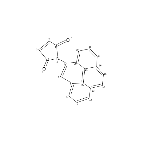 O=C1C=CC(=O)N1c1cc2cccc3ccc4cccc1c4c32